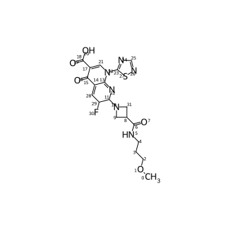 COCCCNC(=O)C1CN(C2N=c3c(c(=O)c(C(=O)O)cn3-c3ncns3)=CC2F)C1